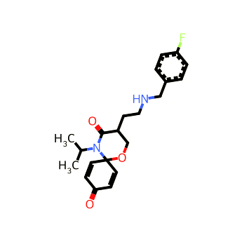 CC(C)N1C(=O)C(CCNCc2ccc(F)cc2)COC12C=CC(=O)C=C2